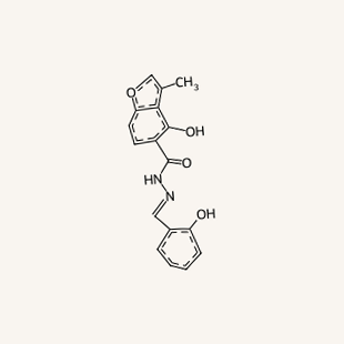 Cc1coc2ccc(C(=O)NN=Cc3ccccc3O)c(O)c12